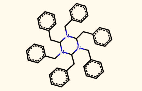 c1ccc(CC2N(Cc3ccccc3)C(Cc3ccccc3)N(Cc3ccccc3)C(Cc3ccccc3)N2Cc2ccccc2)cc1